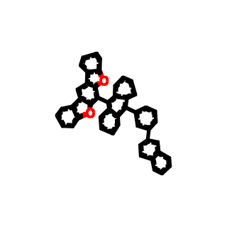 c1cc(-c2ccc3ccccc3c2)cc(-c2c3ccccc3c(-c3c4oc5ccccc5c4cc4c3oc3ccccc34)c3ccccc23)c1